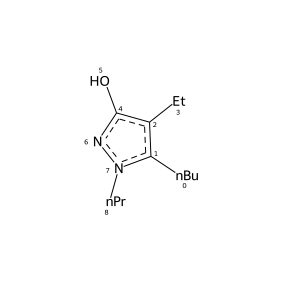 CCCCc1c(CC)c(O)nn1CCC